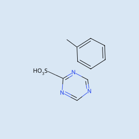 Cc1ccccc1.O=S(=O)(O)c1ncncn1